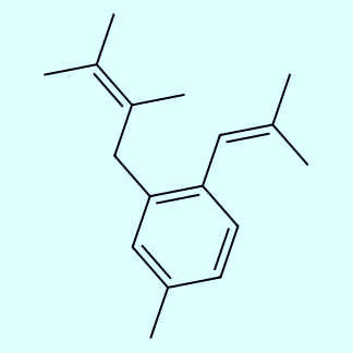 CC(C)=Cc1ccc(C)cc1CC(C)=C(C)C